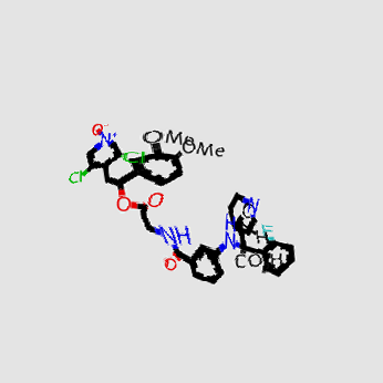 COc1ccc(C(Cc2c(Cl)c[n+]([O-])cc2Cl)OC(=O)CNC(=O)c2cccc(NC(C(=O)O)(c3ccccc3F)[C@H]3CN4CCC3CC4)c2)cc1OC